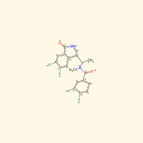 CC(c1c[nH]c(=O)c2cc(F)c(F)cc12)N(C)C(=O)c1ccc(F)c(F)c1